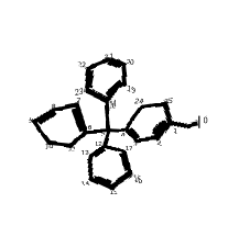 IC1=CC=C(C(C2=CC=CCC2)(c2ccccc2)c2ccccc2)CC1